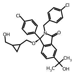 CC(C)(O)c1ccc2c(c1)C(=O)N(Cc1ccc(Cl)cc1)[C@@]2(OCC1CC1CO)c1ccc(Cl)cc1